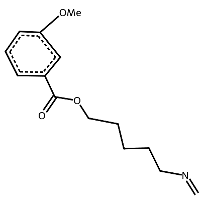 C=NCCCCCOC(=O)c1cccc(OC)c1